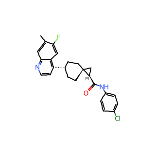 Cc1cc2nccc([C@H]3CC[C@@]4(CC3)C[C@H]4C(=O)Nc3ccc(Cl)cc3)c2cc1F